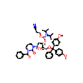 COc1ccc(C(OC[C@H]2O[C@@H](N3CCCN(C(=O)c4ccccc4)C3=O)C[C@@H]2OP(OCCC#N)N(C(C)C)C(C)C)(c2ccccc2)c2ccc(OC)cc2)cc1